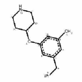 Cc1cc(CC(C)C)cc(OC2CCNCC2)c1